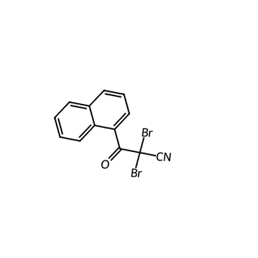 N#CC(Br)(Br)C(=O)c1cccc2ccccc12